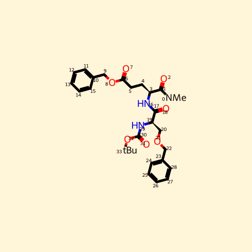 CNC(=O)[C@H](CCC(=O)OCc1ccccc1)NC(=O)[C@@H](COCc1ccccc1)NC(=O)OC(C)(C)C